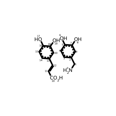 NCc1ccc(O)c(O)c1.O=C(O)C=Cc1ccc(O)c(O)c1